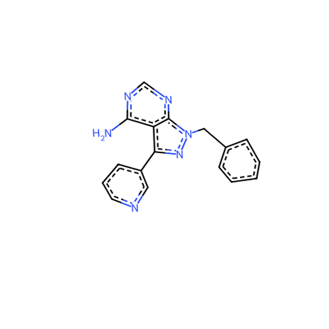 Nc1ncnc2c1c(-c1cccnc1)nn2Cc1ccccc1